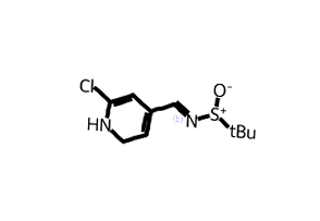 CC(C)(C)[S+]([O-])/N=C/C1=CCNC(Cl)=C1